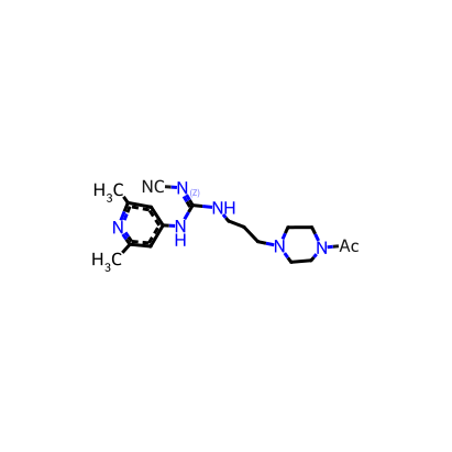 CC(=O)N1CCN(CCCN/C(=N/C#N)Nc2cc(C)nc(C)c2)CC1